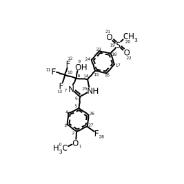 COc1ccc(C2=NC(O)(C(F)(F)F)C(c3ccc(S(C)(=O)=O)cc3)N2)cc1F